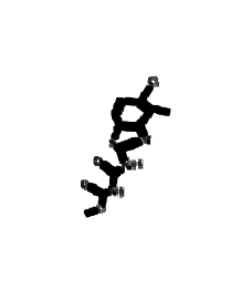 COC(=O)NC(=O)Nc1nc2c(C)c(Cl)ccc2s1